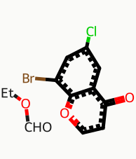 CCOC=O.O=c1ccoc2c(Br)cc(Cl)cc12